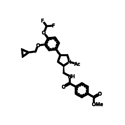 COC(=O)c1ccc(C(=O)NC[C@H]2CC(c3ccc(OC(F)F)c(OCC4CC4)c3)CN2C(C)=O)cc1